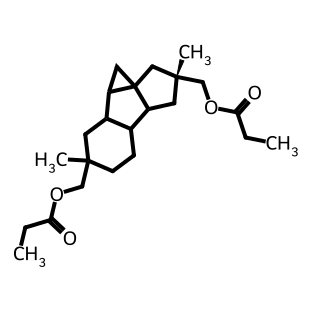 CCC(=O)OCC1(C)CCC2C(C1)C1CC13C[C@](C)(COC(=O)CC)CC23